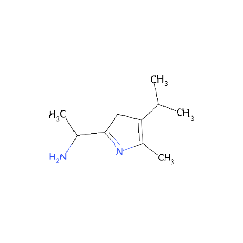 CC1=C(C(C)C)CC(C(C)N)=N1